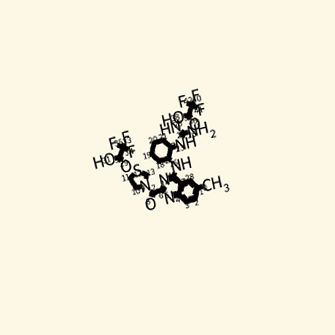 Cc1ccc2nc(C(=O)N3CCSC3)nc(NC3CCCCC3NC(=N)N)c2c1.O=C(O)C(F)(F)F.O=C(O)C(F)(F)F